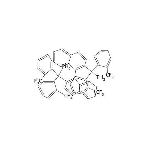 FC(F)(F)c1ccccc1C(P)(c1ccccc1C(F)(F)F)c1ccc2ccccc2c1-c1c(C(P)(c2ccccc2C(F)(F)F)c2ccccc2C(F)(F)F)ccc2ccccc12